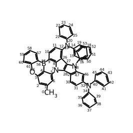 Cc1cc2c3c(c1)-n1c4c(ccc(N(c5ccccc5)c5ccccc5)c4c4c1c1ccc(N(c5ccccc5)c5ccccc5)cc1n4-c1ccccc1)B3c1ccccc1O2